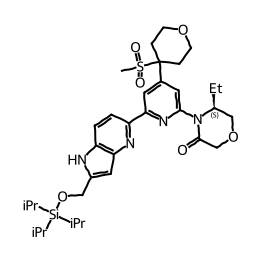 CC[C@H]1COCC(=O)N1c1cc(C2(S(C)(=O)=O)CCOCC2)cc(-c2ccc3[nH]c(CO[Si](C(C)C)(C(C)C)C(C)C)cc3n2)n1